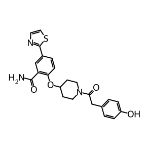 NC(=O)c1cc(-c2nccs2)ccc1OC1CCN(C(=O)Cc2ccc(O)cc2)CC1